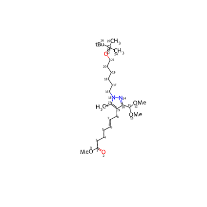 COC(=O)CCCC=CCc1c(C(OC)OC)nn(CCCCCCO[Si](C)(C)C(C)(C)C)c1C